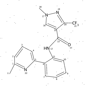 Cc1cccc(-c2ccccc2NC(=O)c2cn(C)nc2C(F)(F)F)n1